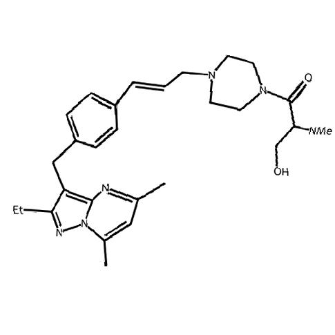 CCc1nn2c(C)cc(C)nc2c1Cc1ccc(C=CCN2CCN(C(=O)C(CO)NC)CC2)cc1